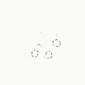 O=C(C1CCNCC1)N(CCOc1c(F)cccc1F)[C@@H](c1ccc(Cl)cc1)c1ccccn1